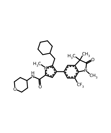 CN1C(=O)C(C)(C)c2cc(-c3cc(C(=O)NC4CCOCC4)n(C)c3CC3CCCCC3)cc(C(F)(F)F)c21